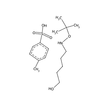 CC(C)(C)ONCCCCCO.Cc1ccc(S(=O)(=O)O)cc1